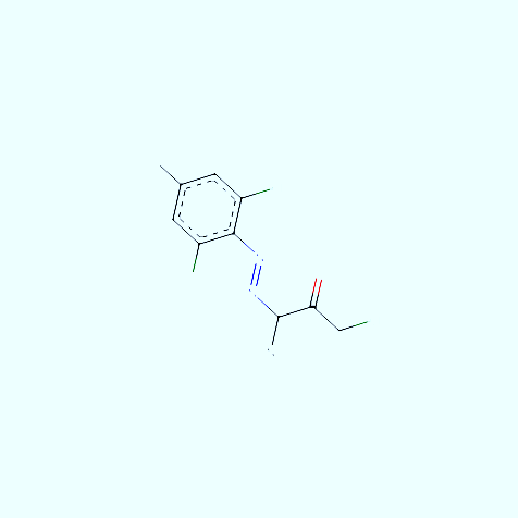 O=C(CCl)C(N=Nc1c(Cl)cc(C(F)(F)F)cc1Cl)[N+](=O)[O-]